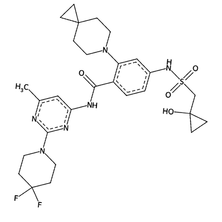 Cc1cc(NC(=O)c2ccc(NS(=O)(=O)CC3(O)CC3)cc2N2CCC3(CC2)CC3)nc(N2CCC(F)(F)CC2)n1